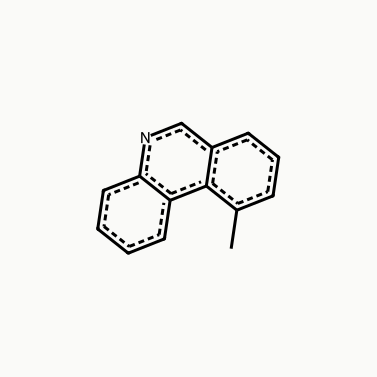 Cc1cccc2cnc3ccccc3c12